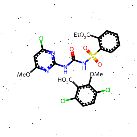 CCOC(=O)c1ccccc1S(=O)(=O)NC(=O)Nc1nc(Cl)cc(OC)n1.COc1c(Cl)ccc(Cl)c1C(=O)O